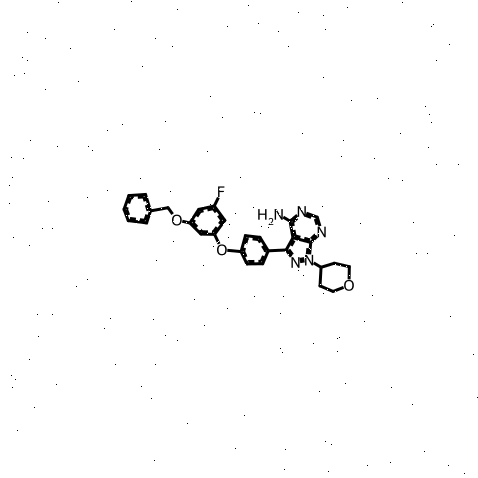 Nc1ncnc2c1c(-c1ccc(Oc3cc(F)cc(OCc4ccccc4)c3)cc1)nn2C1CCOCC1